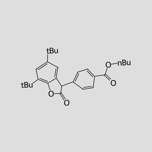 CCCCOC(=O)c1ccc(C2C(=O)Oc3c2cc(C(C)(C)C)cc3C(C)(C)C)cc1